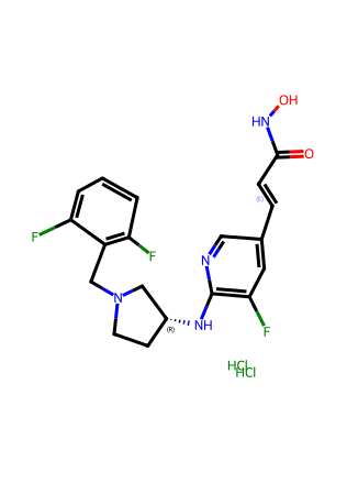 Cl.Cl.O=C(/C=C/c1cnc(N[C@@H]2CCN(Cc3c(F)cccc3F)C2)c(F)c1)NO